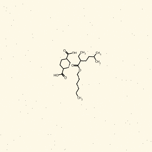 CCCCCCOC(=O)C(CC)CCC(C)C.O=C(O)C1CCC(C(=O)O)CC1